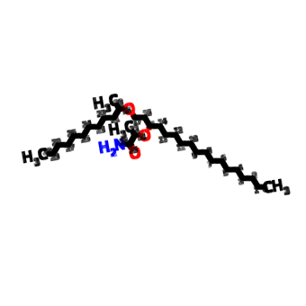 CCCCCCCCCCCCCCCC(CCOC(C)CCCCCCCCCC)OC(C)C(N)=O